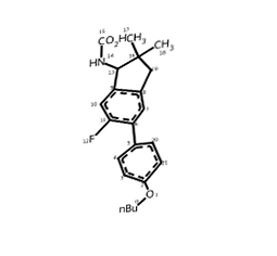 CCCCOc1ccc(-c2cc3c(cc2F)C(NC(=O)O)C(C)(C)C3)cc1